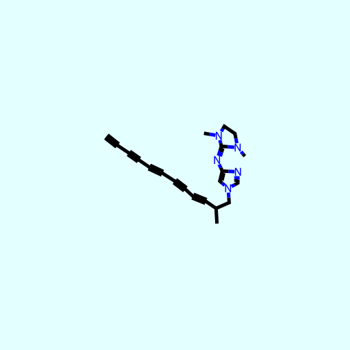 C#CC#CC#CC#CC#CC(C)Cn1cnc(N=C2N(C)CCN2C)c1